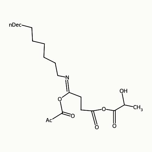 CCCCCCCCCCCCCCCCN=C(CCC(=O)OC(=O)C(C)O)OC(=O)C(C)=O